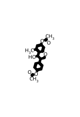 CC(=O)Oc1ccc(C2COc3cc(OC(C)=O)cc(C)c3C2O)cc1